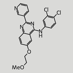 COCCOc1ccc2nc(-c3cccnc3)nc(Nc3ccc(Cl)c(Cl)c3)c2c1